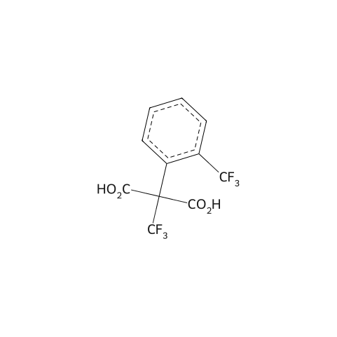 O=C(O)C(C(=O)O)(c1ccccc1C(F)(F)F)C(F)(F)F